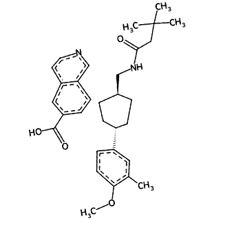 COc1ccc([C@H]2CC[C@H](CNC(=O)CC(C)(C)C)CC2)cc1C.O=C(O)c1ccc2cnccc2c1